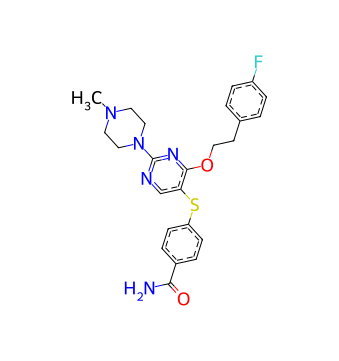 CN1CCN(c2ncc(Sc3ccc(C(N)=O)cc3)c(OCCc3ccc(F)cc3)n2)CC1